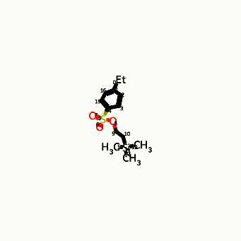 CCc1ccc(S(=O)(=O)OCC[Si](C)(C)C)cc1